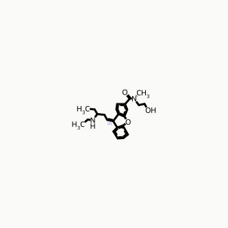 CCNC(CC)C/C=C1/c2ccccc2Oc2cc(C(=O)N(C)CCO)ccc21